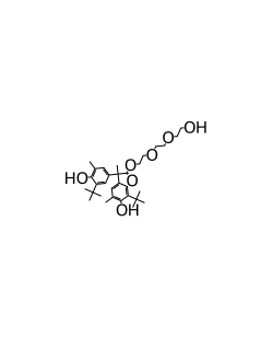 Cc1cc(C(C)(C(=O)OCCOCCOCCO)c2cc(C)c(O)c(C(C)(C)C)c2)cc(C(C)(C)C)c1O